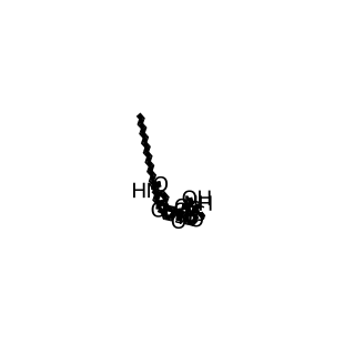 CCCCCCCCCCCCCCCC(=O)Nc1ccc2c(c1)oc1ccc(S(=O)(=O)N3CCOC(SC)(SC)C3C(=O)NO)cc12